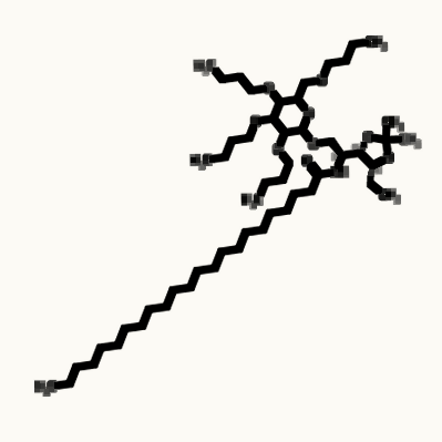 CCCCCCCCCCCCCCCCCCCCCCC(=O)N[C@@H](COC1OC(COCCCC)C(OCCCC)C(OCCCC)C1OCCCC)[C@@H]1OC(C)(C)O[C@@H]1CC